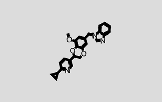 COc1cc(Cn2cnc3ccccc32)cc2c1OC(c1ccc(C3CC3)nc1)CO2